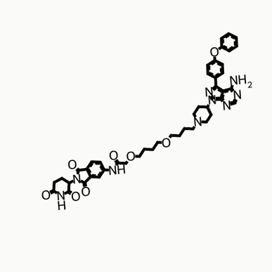 Nc1ncnc2c1c(-c1ccc(Oc3ccccc3)cc1)nn2C1CCN(CCCCOCCCCOCC(=O)Nc2ccc3c(c2)C(=O)N(C2CCC(=O)NC2=O)C3=O)CC1